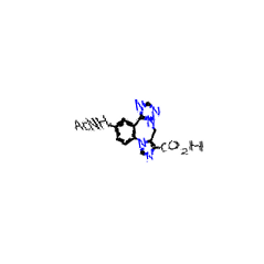 CC(=O)Nc1ccc2c(c1)-c1ncnn1Cc1c(C(=O)O)ncn1-2